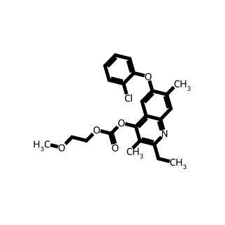 CCc1nc2cc(C)c(Oc3ccccc3Cl)cc2c(OC(=O)OCCOC)c1C